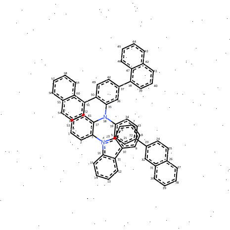 c1ccc(-n2c3ccccc3c3ccccc32)c(N(c2ccc(-c3ccc4ccccc4c3)cc2)c2cc(-c3cccc4ccccc34)ccc2-c2cccc3ccccc23)c1